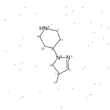 CC1C=NN(C2CCNCC2)C1